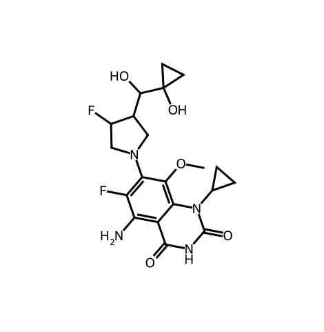 COc1c(N2CC(F)C(C(O)C3(O)CC3)C2)c(F)c(N)c2c(=O)[nH]c(=O)n(C3CC3)c12